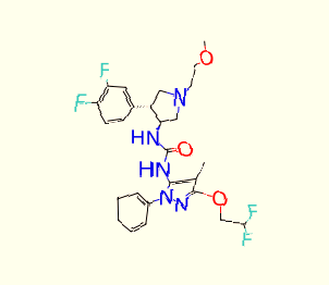 COCCN1C[C@@H](NC(=O)Nc2c(C)c(OCC(F)F)nn2C2=CCCC=C2)[C@H](c2ccc(F)c(F)c2)C1